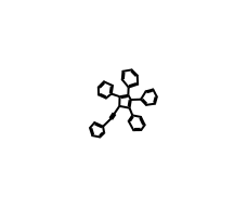 C(#CC1C(c2ccccc2)=C(c2ccccc2)C(c2ccccc2)=C1c1ccccc1)c1ccccc1